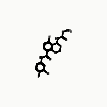 COC(=O)NC1CCOc2c(C(=O)Nc3ccc(F)c(Cl)c3)ccc(F)c21